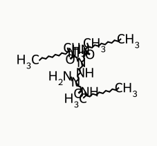 CCCCCCCCCCC(C)NC(=O)CCN(CCN)CCNCCN(CCC(=O)NC(C)CCCCCCCCCC)CCC(=O)NC(C)CCCCCCCCCC